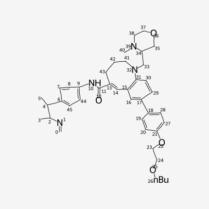 C=NC(C)C(C)c1ccc(NC(=O)/C2=C/c3cc(-c4ccc(OCCOCCCC)cc4)ccc3N(CC3COCCN3C)CCC2)cc1